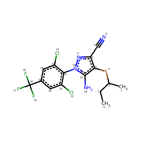 CCC(C)Sc1c(C#N)nn(-c2c(Cl)cc(C(F)(F)F)cc2Cl)c1N